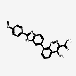 COc1ccc(-c2nc3ccc(-c4cccc5c(N)c(C(N)=O)nnc45)cc3[nH]2)cc1